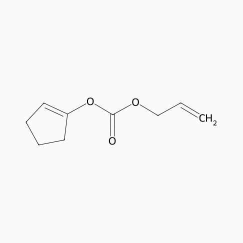 C=CCOC(=O)OC1=CCCC1